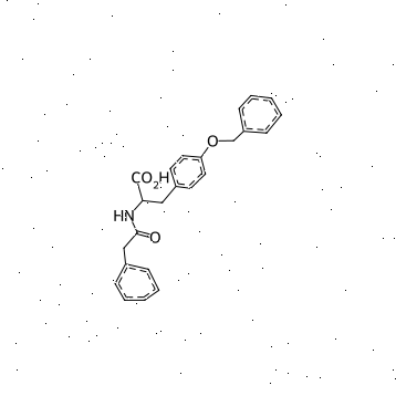 O=C(Cc1ccccc1)NC(Cc1ccc(OCc2ccccc2)cc1)C(=O)O